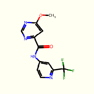 COc1cc(C(=O)Nc2ccnc(C(F)(F)F)c2)ncn1